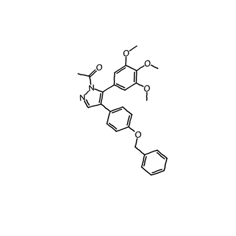 COc1cc(-c2c(-c3ccc(OCc4ccccc4)cc3)cnn2C(C)=O)cc(OC)c1OC